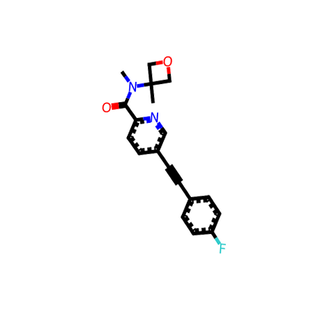 CN(C(=O)c1ccc(C#Cc2ccc(F)cc2)cn1)C1(C)COC1